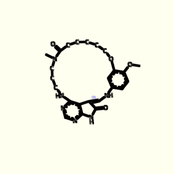 COc1ccc2cc1OCCCCCC(=O)N(C)CCCNc1ncnc3c1/C(=C/N2)C(=O)N3